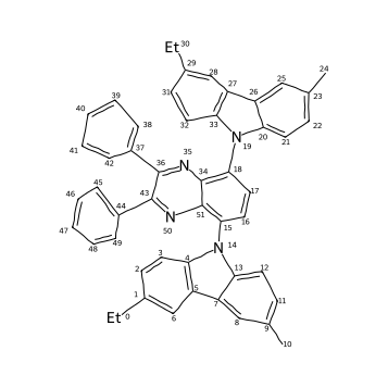 CCc1ccc2c(c1)c1cc(C)ccc1n2-c1ccc(-n2c3ccc(C)cc3c3cc(CC)ccc32)c2nc(-c3ccccc3)c(-c3ccccc3)nc12